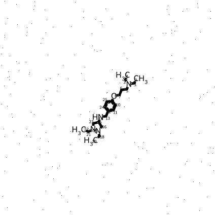 CCN(CC)CCCOc1ccc(CNC2CN(CC)N(CC)C2)cc1